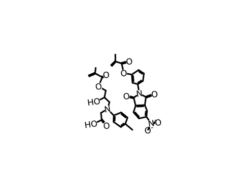 C=C(C)C(=O)OCC(O)CN(CC(=O)O)c1ccc(C)cc1.C=C(C)C(=O)Oc1cccc(N2C(=O)c3ccc([N+](=O)[O-])cc3C2=O)c1